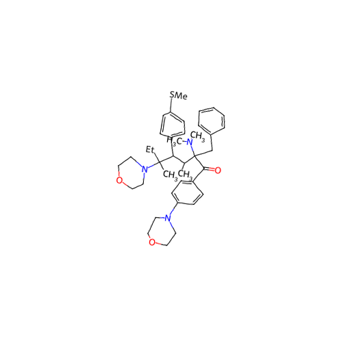 CCC(C)(C(c1ccc(SC)cc1)C(C)C(Cc1ccccc1)(C(=O)c1ccc(N2CCOCC2)cc1)N(C)C)N1CCOCC1